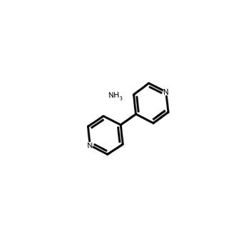 N.c1cc(-c2ccncc2)ccn1